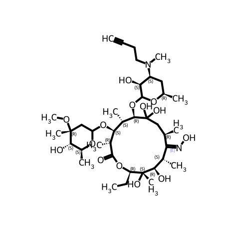 C#CCCN(C)[C@H]1C[C@@H](C)OC(O[C@@H]2[C@@H](C)[C@H](OC3C[C@@](C)(OC)[C@@H](O)[C@H](C)O3)[C@@H](C)C(=O)O[C@H](CC)[C@@](C)(O)[C@H](O)[C@@H](C)/C(=N/O)[C@H](C)CC2(O)O)[C@H]1O